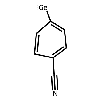 N#Cc1cc[c]([Ge])cc1